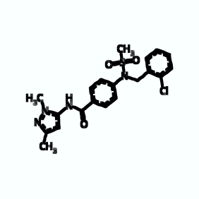 Cc1cc(NC(=O)c2ccc(N(Cc3ccccc3Cl)S(C)(=O)=O)cc2)n(C)n1